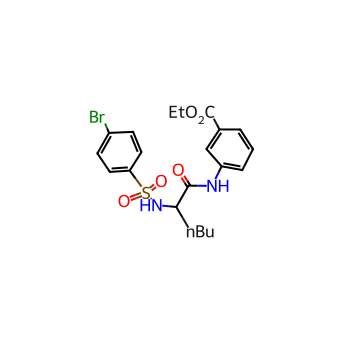 CCCCC(NS(=O)(=O)c1ccc(Br)cc1)C(=O)Nc1cccc(C(=O)OCC)c1